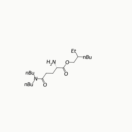 CCCCC(CC)COC(=O)[C@@H](N)CCC(=O)N(CCCC)CCCC